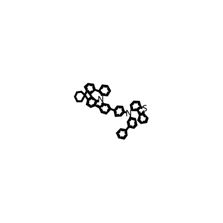 c1ccc(-c2cccc(N(c3ccc(-c4ccc5c6ccc7c8c6n(c5c4)-c4ccccc4-c4cccc(c4-8)C74CCCCC4)cc3)c3cccc4sc5ccccc5c34)c2)cc1